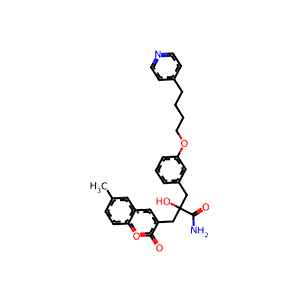 Cc1ccc2oc(=O)c(CC(O)(Cc3cccc(OCCCCc4ccncc4)c3)C(N)=O)cc2c1